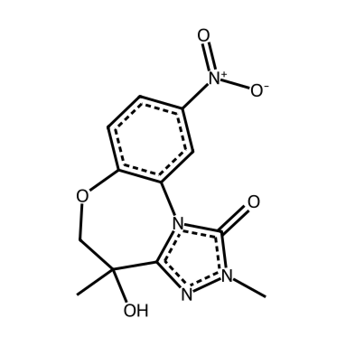 Cn1nc2n(c1=O)-c1cc([N+](=O)[O-])ccc1OCC2(C)O